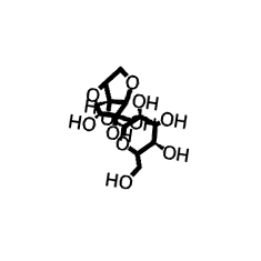 OCC1O[C@@H](O[C@@H]2C3COC2C(O)(O)[C@H](O)O3)[C@@H](O)C(O)[C@H]1O